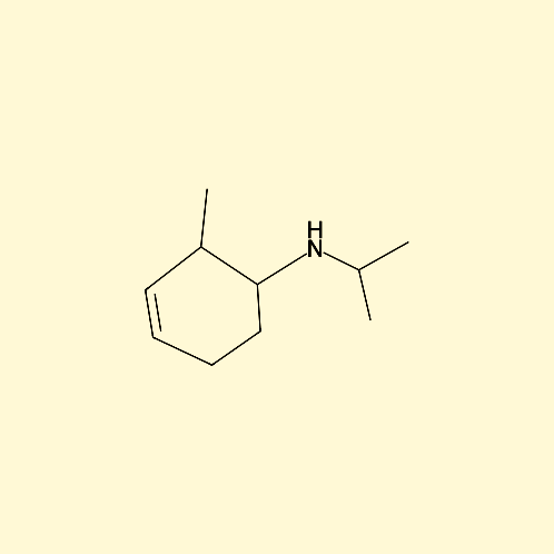 CC(C)NC1CCC=CC1C